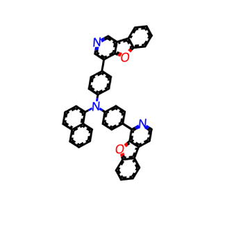 c1ccc2c(N(c3ccc(-c4cncc5c4oc4ccccc45)cc3)c3ccc(-c4nccc5c4oc4ccccc45)cc3)cccc2c1